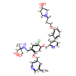 CCC(CO)(CO)NCc1cc(Cl)c(OCc2nccc(-c3cccc(OCCCN4CCC(O)C4)c3C)c2C)cc1OCc1cncc(C#N)c1